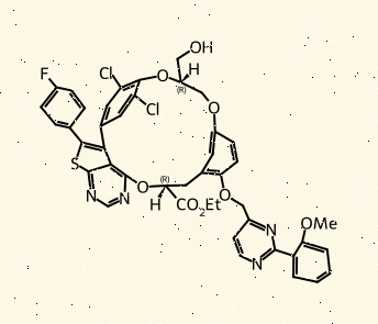 CCOC(=O)[C@H]1Cc2cc(ccc2OCc2ccnc(-c3ccccc3OC)n2)OC[C@@H](CO)Oc2c(Cl)cc(cc2Cl)-c2c(-c3ccc(F)cc3)sc3ncnc(c23)O1